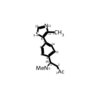 CN[C@H](CC(C)=O)c1ccc(-c2scnc2C)cc1